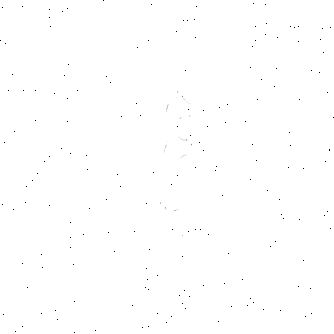 Cc1cc(-c2ccc(OCC(C)(CC(C)C)NC(=O)OC(C)(C)C)c(Cl)n2)ccn1